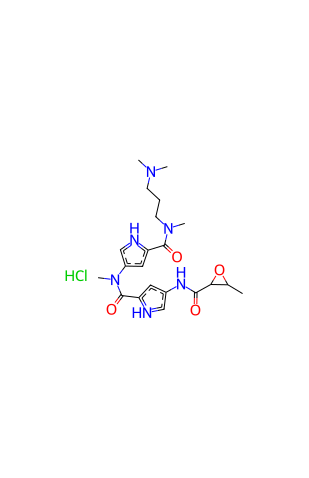 CC1OC1C(=O)Nc1c[nH]c(C(=O)N(C)c2c[nH]c(C(=O)N(C)CCCN(C)C)c2)c1.Cl